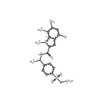 Cc1cc(Cl)c2cc(C(=O)NC(C)c3ccc(S(=O)(=O)CC(=O)O)cc3)n(C)c2c1C